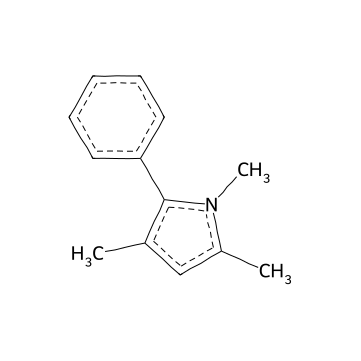 Cc1cc(C)n(C)c1-c1ccccc1